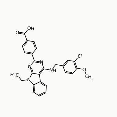 CCn1c2ccccc2c2c(NCc3ccc(OC)c(Cl)c3)nc(-c3ccc(C(=O)O)cc3)nc21